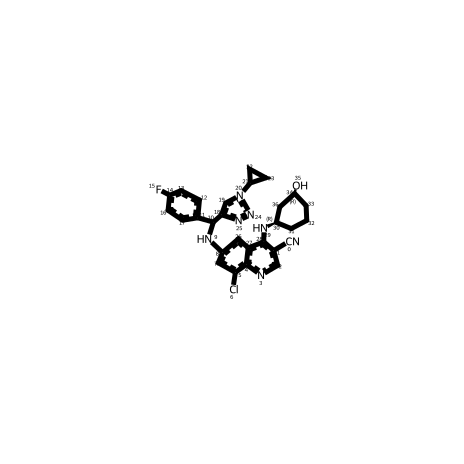 N#Cc1cnc2c(Cl)cc(NC(c3ccc(F)cc3)c3cn(C4CC4)nn3)cc2c1N[C@@H]1CCC[C@@H](O)C1